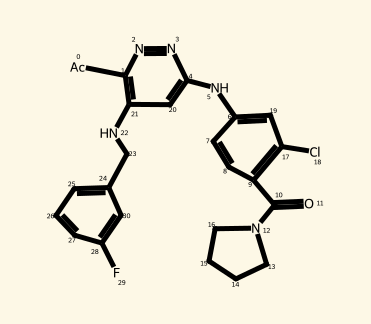 CC(=O)c1nnc(Nc2ccc(C(=O)N3CCCC3)c(Cl)c2)cc1NCc1cccc(F)c1